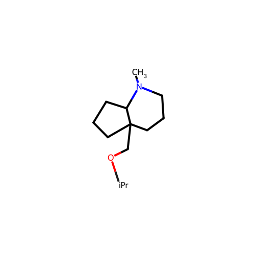 CC(C)OCC12CCCC1N(C)CCC2